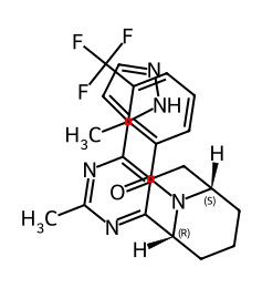 Cc1nc(-c2ccn[nH]2)c2c(n1)[C@H]1CCC[C@@H](C2)N1C(=O)c1cccc(C(F)(F)F)c1C